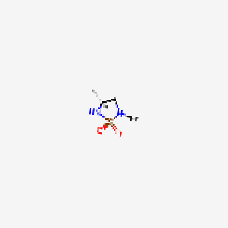 CCN1C[C@@H](C)NS1(=O)=O